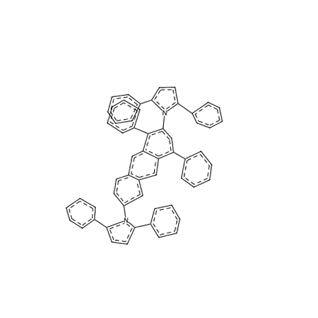 c1ccc(-c2cc(-n3c(-c4ccccc4)ccc3-c3ccccc3)c(-c3ccccc3)c3cc4ccc(-n5c(-c6ccccc6)ccc5-c5ccccc5)cc4cc23)cc1